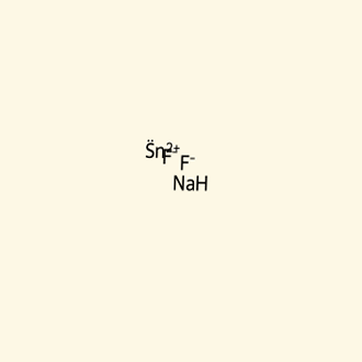 [F-].[F-].[NaH].[Sn+2]